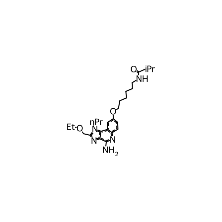 CCCn1c(COCC)nc2c(N)nc3ccc(OCCCCCCNC(=O)C(C)C)cc3c21